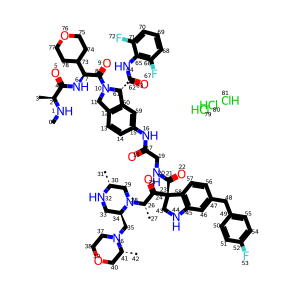 CN[C@@H](C)C(=O)N[C@H](C(=O)N1Cc2ccc(NC(=O)CNC(=O)[C@]3(C(=O)[C@H](C)N4C[C@@H](C)NC[C@@H]4CN4CCOC[C@H]4C)CNc4cc(Cc5ccc(F)cc5)ccc43)cc2[C@H]1C(=O)Nc1c(F)cccc1F)C1CCOCC1.Cl.Cl.Cl